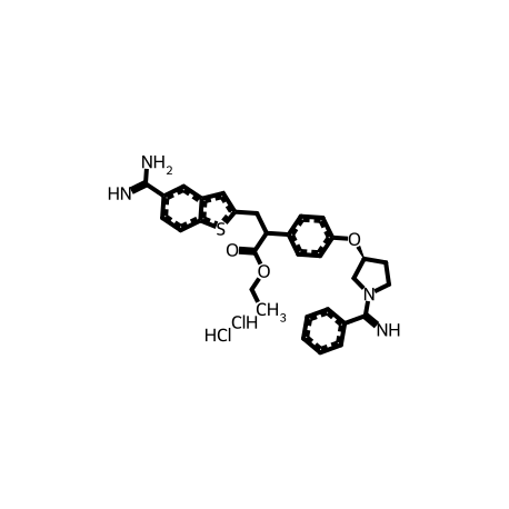 CCOC(=O)C(Cc1cc2cc(C(=N)N)ccc2s1)c1ccc(O[C@H]2CCN(C(=N)c3ccccc3)C2)cc1.Cl.Cl